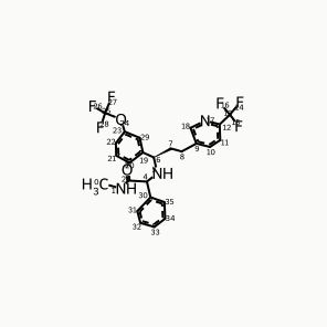 CNC(=O)C(N[C@H](CCc1ccc(C(F)(F)F)nc1)c1cccc(OC(F)(F)F)c1)c1ccccc1